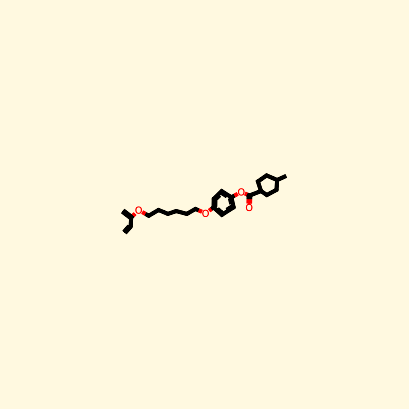 C=CC(=C)OCCCCCCOc1ccc(OC(=O)C2CCC(C)CC2)cc1